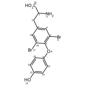 NC(Cc1cc(Br)c(Oc2ccc(O)cc2)c(Br)c1)C(=O)O